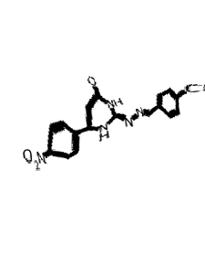 Cc1ccc(C=NN=C2NC(=O)CC(c3ccc([N+](=O)[O-])cc3)N2)cc1